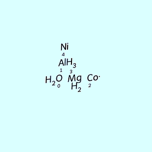 O.[AlH3].[Co].[MgH2].[Ni]